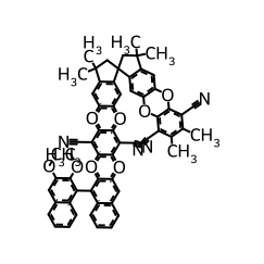 COc1cc2ccccc2c(-c2c3ccccc3cc3oc4c(C#N)c5oc6cc7c(cc6oc5c(C#N)c4oc23)C(C)(C)CC72CC(C)(C)c3cc4c(cc32)Oc2c(C#N)c(C)c(C)c(C#N)c2O4)c1OC